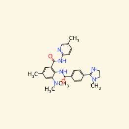 Cc1ccc(NC(=O)c2cc(C)cc(N(C)C)c2NC(=O)c2ccc(C3=NCCN3C)cc2)nc1